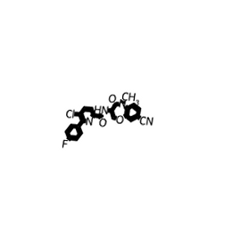 CN1C(=O)C(NC(=O)c2ccc(Cl)c(-c3ccc(F)cc3)n2)COc2cc(C#N)ccc21